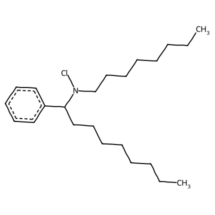 CCCCCCCCC(c1ccccc1)N(Cl)CCCCCCCC